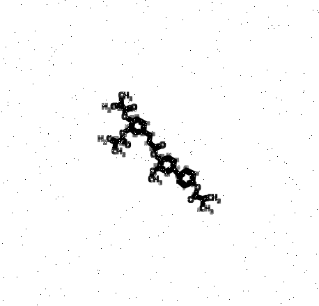 C=C(C)C(=O)Oc1ccc(-c2ccc(OC(=O)CCc3ccc(OC(=O)C(=C)C)c(OC(=O)C(=C)C)c3)c(OC)c2)cc1